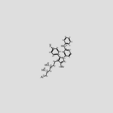 CCC(C)c1nn(-c2ccnc(Nc3ccccc3)c2)c(-c2ccc(F)cc2)c1CC[C@@H](O)C[C@@H](O)CC(C)=O